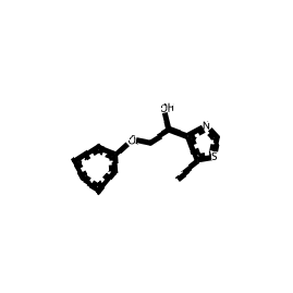 Cc1scnc1C(O)COc1ccccc1